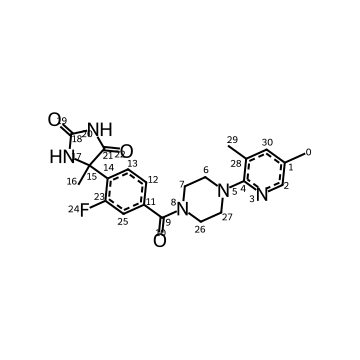 Cc1cnc(N2CCN(C(=O)c3ccc(C4(C)NC(=O)NC4=O)c(F)c3)CC2)c(C)c1